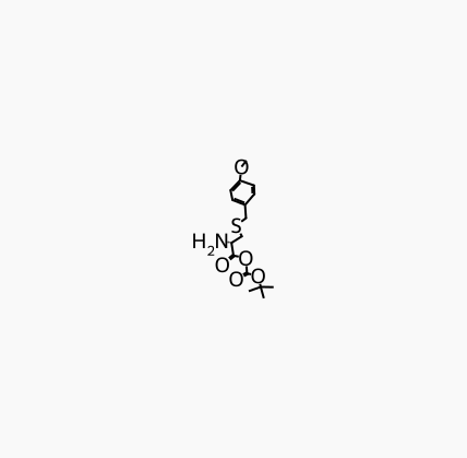 COc1ccc(CSC[C@@H](N)C(=O)OC(=O)OC(C)(C)C)cc1